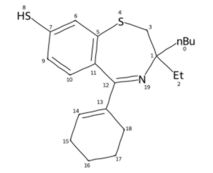 CCCCC1(CC)CSc2cc(S)ccc2C(C2=CCCCC2)=N1